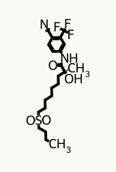 CCCCS(=O)(=O)CCCCCCC[C@](C)(O)C(=O)Nc1ccc(C#N)c(C(F)(F)F)c1